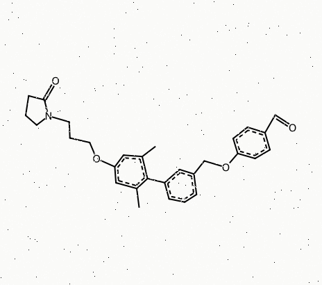 Cc1cc(OCCCN2CCCC2=O)cc(C)c1-c1cccc(COc2ccc(C=O)cc2)c1